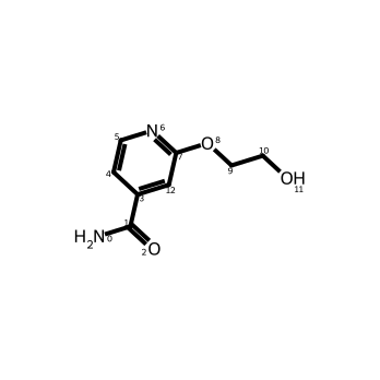 NC(=O)c1ccnc(OCCO)c1